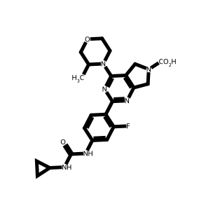 CC1COCCN1c1nc(-c2ccc(NC(=O)NC3CC3)cc2F)nc2c1CN(C(=O)O)C2